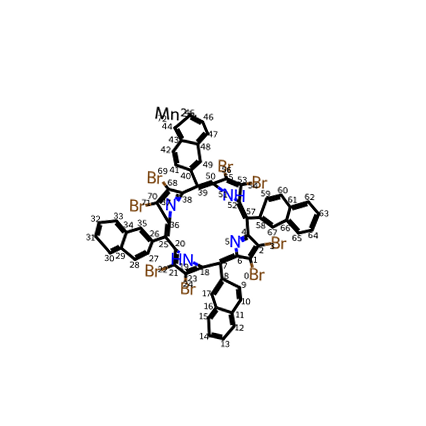 BrC1=C(Br)c2nc1c(-c1ccc3ccccc3c1)c1[nH]c(c(Br)c1Br)c(-c1ccc3ccccc3c1)c1nc(c(-c3ccc4ccccc4c3)c3[nH]c(c(Br)c3Br)c2-c2ccc3ccccc3c2)C(Br)=C1Br.[Mn+2]